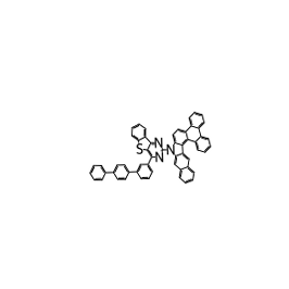 c1ccc(-c2ccc(-c3cccc(-c4nc(-n5c6cc7ccccc7cc6c6c7c8ccccc8c8ccccc8c7ccc65)nc5c4sc4ccccc45)c3)cc2)cc1